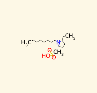 CCCCCCCCN1CCCC1CC.CS(=O)(=O)O